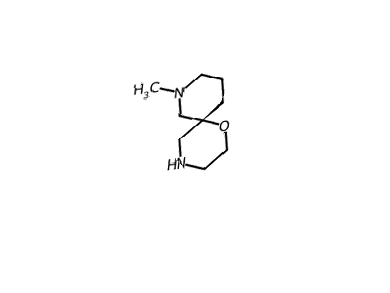 CN1CCC[C@@]2(CNCCO2)C1